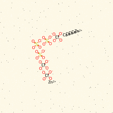 O=S(=O)([O-])[O-].O=S(=O)([O-])[O-].O=S(=O)([O-])[O-].[Ca+2].[Ca+2].[Cu+2].[Cu+2].[O]=[Cr](=[O])([O-])[O-].[O]=[Cr](=[O])([O-])[O-].[O]=[Cr](=[O])([O-])[O-].[Zn+2].[Zn+2]